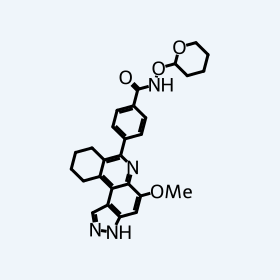 COc1cc2[nH]ncc2c2c3c(c(-c4ccc(C(=O)NOC5CCCCO5)cc4)nc12)CCCC3